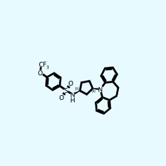 O=S(=O)(N[C@H]1CC[C@@H](N2c3ccccc3CCc3ccccc32)C1)c1ccc(OC(F)(F)F)cc1